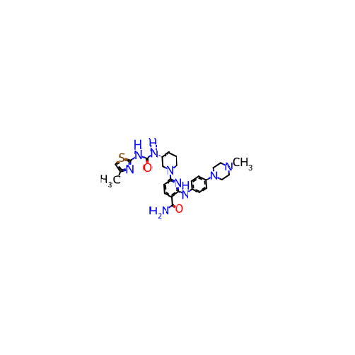 Cc1csc(NC(=O)N[C@@H]2CCCN(c3ccc(C(N)=O)c(Nc4ccc(N5CCN(C)CC5)cc4)n3)C2)n1